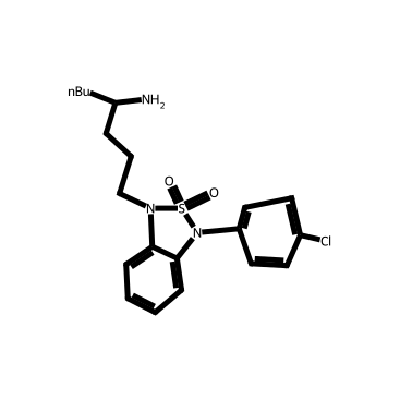 CCCCC(N)CCCN1c2ccccc2N(c2ccc(Cl)cc2)S1(=O)=O